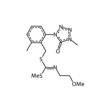 COCCN=C(SC)SCc1c(C)cccc1-n1nnn(C)c1=O